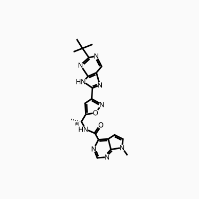 C[C@@H](NC(=O)c1ncnc2c1ccn2C)c1cc(-c2nc3cnc(C(C)(C)C)nc3[nH]2)no1